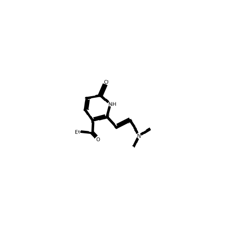 CCC(=O)c1ccc(=O)[nH]c1/C=C/N(C)C